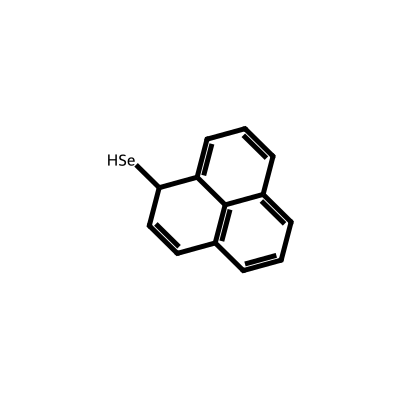 [SeH]C1C=Cc2cccc3cccc1c23